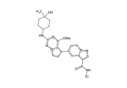 CCNC(=O)c1cnn2ccc(-c3ccn4nc(NC5CCC(C)(O)CC5)nc(OC)c34)cc12